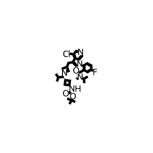 CC(C)C([C@H]1C[C@@H](NC(=O)OC(C)(C)C)C1)N1CC(Cc2cn(-c3ccc(F)cc3C(=O)N(C)C(C)C)c3cncc(Cl)c23)C1